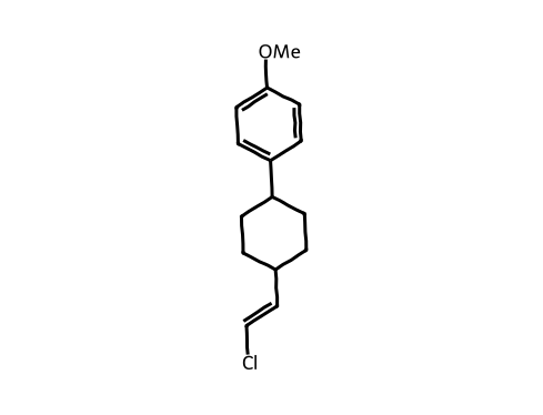 COc1ccc(C2CCC(/C=C/Cl)CC2)cc1